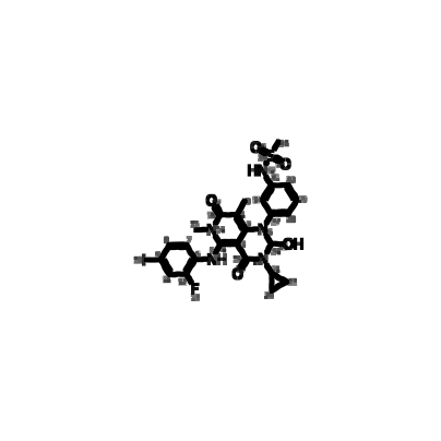 Cc1c2c(c(Nc3ccc(I)cc3F)n(C)c1=O)C(=O)N(C1CC1)C(O)N2c1cccc(NS(C)(=O)=O)c1